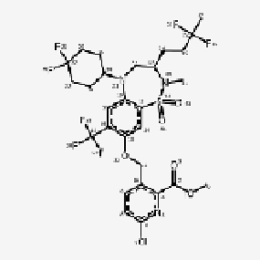 COC(=O)c1nc(Cl)ccc1COc1cc2c(cc1C(F)(F)F)N(C1CCC(F)(F)CC1)C[C@@H](CCC(C)(F)F)N(C)S2(=O)=O